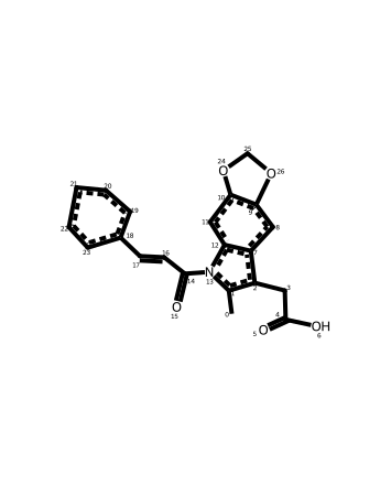 Cc1c(CC(=O)O)c2cc3c(cc2n1C(=O)/C=C/c1ccccc1)OCO3